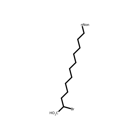 CCCCCCCCCCCCCCCCCCCC(Br)C(=O)O